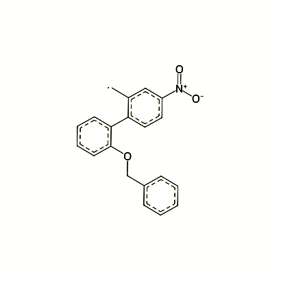 [CH2]c1cc([N+](=O)[O-])ccc1-c1ccccc1OCc1ccccc1